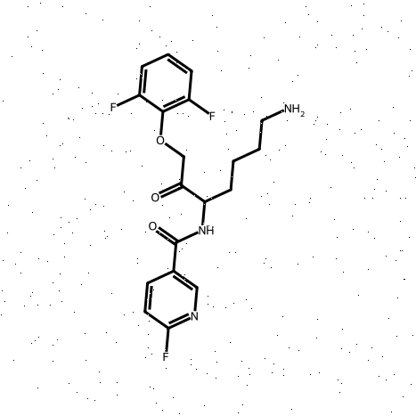 NCCCCC(NC(=O)c1ccc(F)nc1)C(=O)COc1c(F)cccc1F